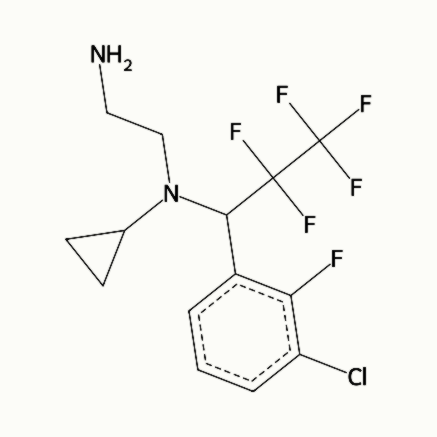 NCCN(C1CC1)C(c1cccc(Cl)c1F)C(F)(F)C(F)(F)F